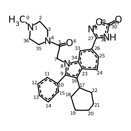 CN1CCN(C(=O)Cn2c(-c3ccccc3)c(C3CCCCC3)c3ccc(-c4noc(=O)[nH]4)cc32)CC1